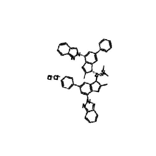 CC1=Cc2c(cc(-c3ccccc3)cc2-n2cc3ccccc3n2)[C@@H]1[Zr+2]([C@H]1C(C)=Cc2c1cc(-c1ccccc1)cc2-n1cc2ccccc2n1)=[Si](C)C.[Cl-].[Cl-]